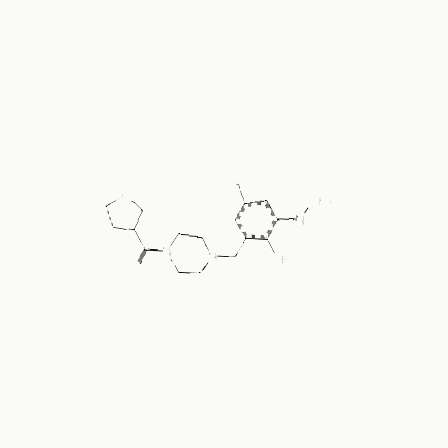 Cc1c(CN2CCN(C(=O)C3CCOC3)CC2)cc(Cl)cc1NC=O